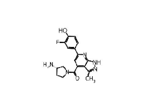 Cc1n[nH]c2nc(-c3ccc(O)c(F)c3)cc(C(=O)N3CC[C@H](N)C3)c12